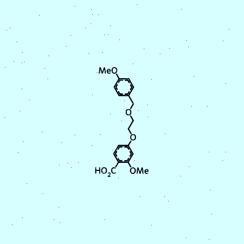 COc1ccc(COCCOc2ccc(C(=O)O)c(OC)c2)cc1